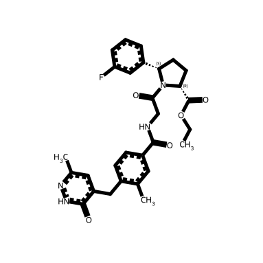 CCOC(=O)[C@H]1CC[C@@H](c2cccc(F)c2)N1C(=O)CNC(=O)c1ccc(Cc2cc(C)n[nH]c2=O)c(C)c1